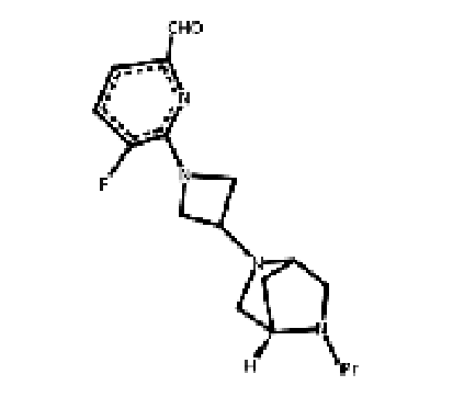 CC(C)N1CC2C[C@H]1CN2C1CN(c2nc(C=O)ccc2F)C1